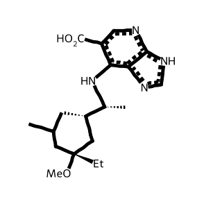 CC[C@@]1(OC)CC(C)C[C@H]([C@@H](C)Nc2c(C(=O)O)cnc3[nH]cnc23)C1